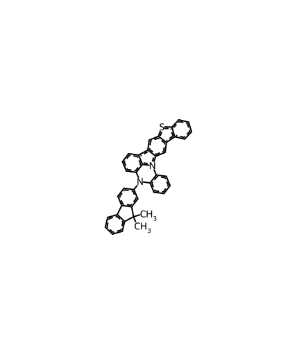 CC1(C)c2ccccc2-c2ccc(N3c4ccccc4-n4c5cc6c(cc5c5cccc3c54)sc3ccccc36)cc21